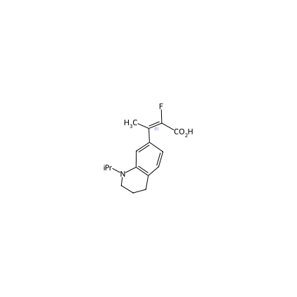 C/C(=C(\F)C(=O)O)c1ccc2c(c1)N(C(C)C)CCC2